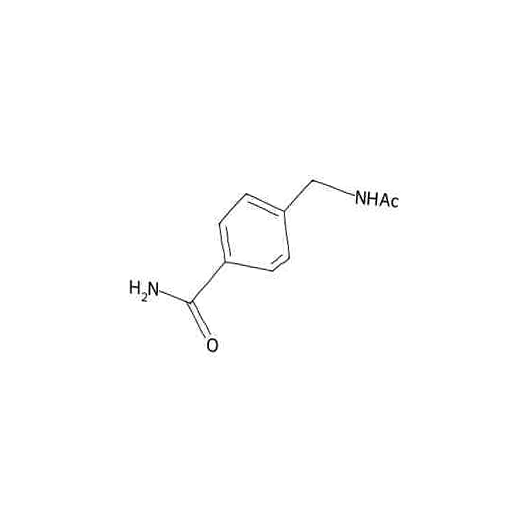 CC(=O)NCc1ccc(C(N)=O)cc1